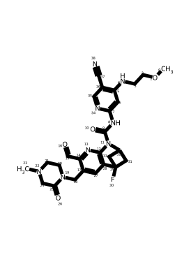 COCCNc1cc(NC(=O)N2c3nc(C=O)c(CN4CCN(C)CC4=O)cc3C3(F)CC2C3)ncc1C#N